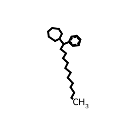 CCCCCCCCCCCCC(c1ccccc1)C1CCCCCC1